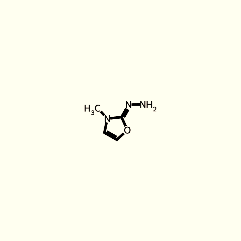 Cn1ccoc1=NN